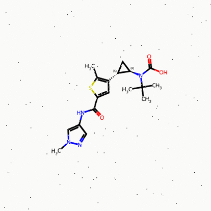 Cc1sc(C(=O)Nc2cnn(C)c2)cc1[C@@H]1C[C@H]1N(C(=O)O)C(C)(C)C